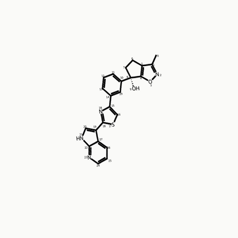 Cc1noc2c1CC[C@]2(O)c1cccc(-c2csc(-c3c[nH]c4ncccc34)n2)c1